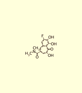 CN(C)C(=O)c1cc(O)c(=O)c2c(O)c(O)c(F)cc2c1